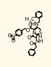 Cc1ccccc1CNC1=C(C(=O)OCc2ccc([N+](=O)[O-])cc2)N2C(=O)C(NC(=O)Cc3ccccc3)[C@H]2SC1